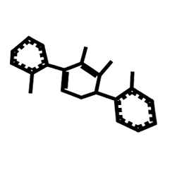 CC1=C(C)C(c2ccccc2C)CC=C1c1ccccc1C